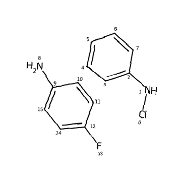 ClNc1ccccc1.Nc1ccc(F)cc1